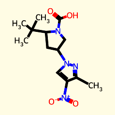 Cc1nn(C2CC(C(C)(C)C)N(C(=O)O)C2)cc1[N+](=O)[O-]